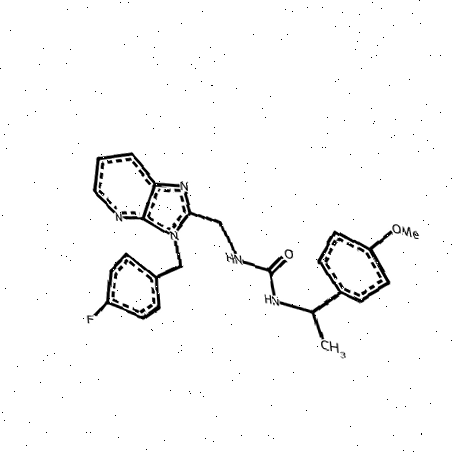 COc1ccc(C(C)NC(=O)NCc2nc3cccnc3n2Cc2ccc(F)cc2)cc1